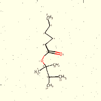 CCCCCC(=O)OC(C)(C)C(C)C